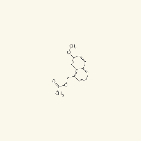 COc1ccc2cccc(COC(C)=O)c2c1